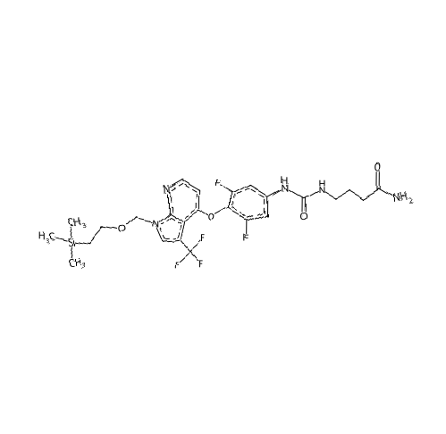 C[Si](C)(C)CCOCn1cc(C(F)(F)F)c2c(Oc3c(F)cc(NC(=O)NCCCC(N)=O)cc3F)ccnc21